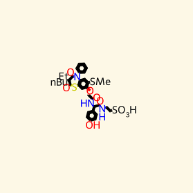 CCCCC1(CC)C(=O)Sc2cc(OCC(=O)N[C@@H](C(=O)NCCS(=O)(=O)O)c3ccc(O)cc3)c(SC)cc2N(c2ccccc2)C1=O